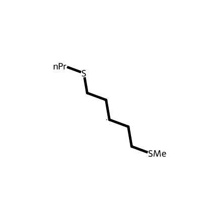 CCCSCC[CH]CCSC